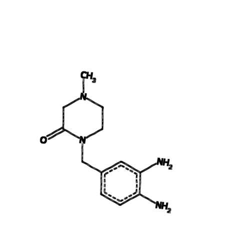 CN1CCN(Cc2ccc(N)c(N)c2)C(=O)C1